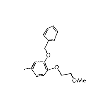 COCCOc1ccc(C)cc1OCc1ccccc1